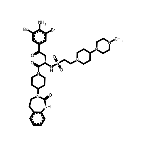 CN1CCN(C2CCN(CCS(=O)(=O)N[C@H](CC(=O)c3cc(Br)c(N)c(Br)c3)C(=O)N3CCC(N4CCc5ccccc5NC4=O)CC3)CC2)CC1